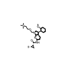 COc1ccccc1-c1cn(COCC[Si](C)(C)C)c2nc(NC(=O)[C@@H]3C[C@@H]3F)ccc12